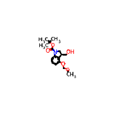 COCOc1cccc2c1C(CO)CN2C(=O)OC(C)(C)C